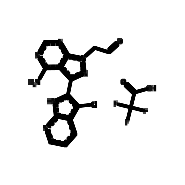 Nc1ncnc2c1c(-c1[nH]c3ncccc3c1Cl)nn2CC=O.O=C(O)C(F)(F)F